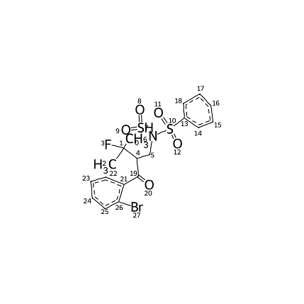 CC(C)(F)C(CN([SH](=O)=O)S(=O)(=O)c1ccccc1)C(=O)c1ccccc1Br